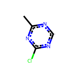 Cc1n[c]nc(Cl)n1